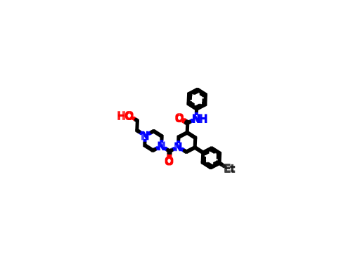 CCc1ccc(C2CC(C(=O)Nc3ccccc3)CN(C(=O)N3CCN(CCO)CC3)C2)cc1